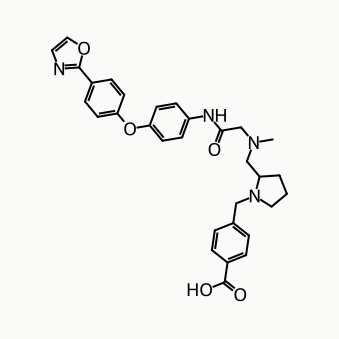 CN(CC(=O)Nc1ccc(Oc2ccc(-c3ncco3)cc2)cc1)CC1CCCN1Cc1ccc(C(=O)O)cc1